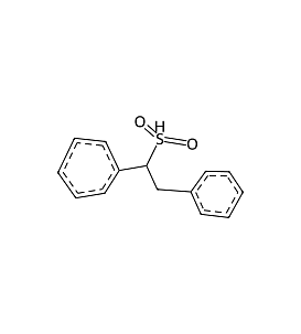 O=[SH](=O)C(Cc1ccccc1)c1ccccc1